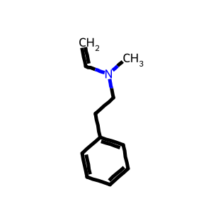 C=CN(C)CCc1ccccc1